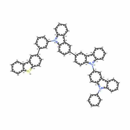 c1ccc(-n2c3ccccc3c3cc(-n4c5ccccc5c5cc(-c6ccc7c(c6)c6ccccc6n7-c6cccc(-c7ccc8sc9ccccc9c8c7)c6)ccc54)ccc32)cc1